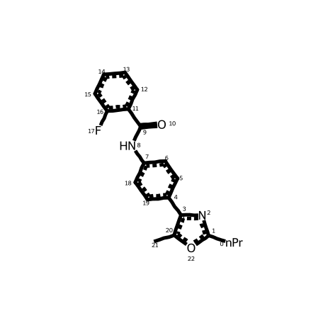 CCCc1nc(-c2ccc(NC(=O)c3ccccc3F)cc2)c(C)o1